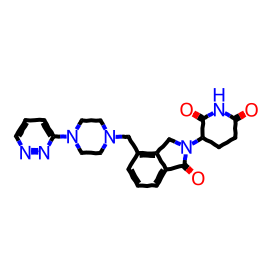 O=C1CCC(N2Cc3c(CN4CCN(c5cccnn5)CC4)cccc3C2=O)C(=O)N1